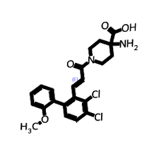 COc1ccccc1-c1c[c]c(Cl)c(Cl)c1/C=C/C(=O)N1CCC(N)(C(=O)O)CC1